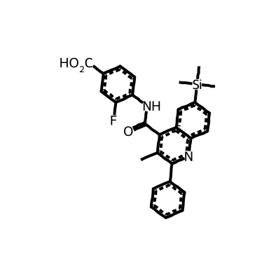 Cc1c(-c2ccccc2)nc2ccc([Si](C)(C)C)cc2c1C(=O)Nc1ccc(C(=O)O)cc1F